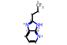 FC(F)(F)CCc1nc2cccnc2[nH]1